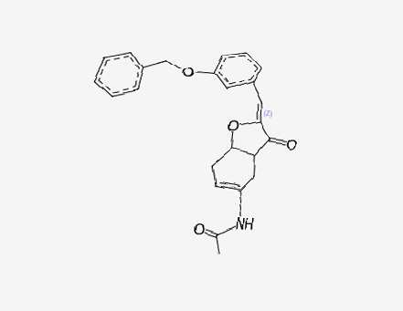 CC(=O)NC1=CCC2O/C(=C\c3cccc(OCc4ccccc4)c3)C(=O)C2C1